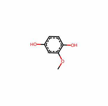 COc1[c]c(O)ccc1O